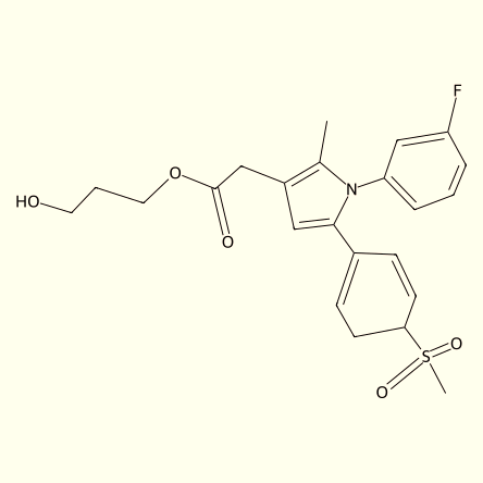 Cc1c(CC(=O)OCCCO)cc(C2=CCC(S(C)(=O)=O)C=C2)n1-c1cccc(F)c1